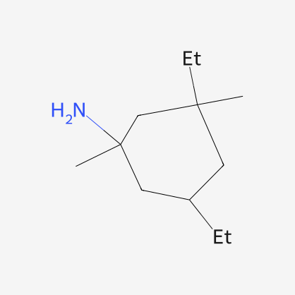 CCC1CC(C)(N)CC(C)(CC)C1